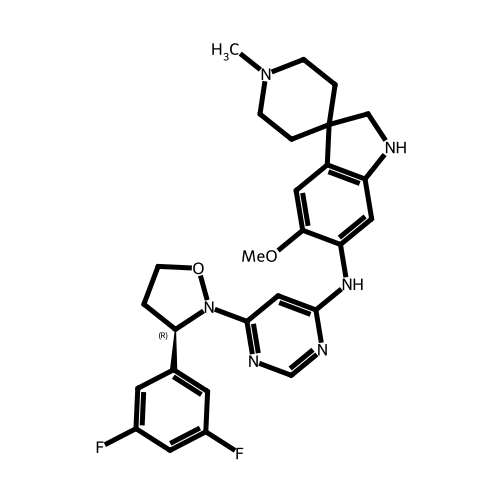 COc1cc2c(cc1Nc1cc(N3OCC[C@@H]3c3cc(F)cc(F)c3)ncn1)NCC21CCN(C)CC1